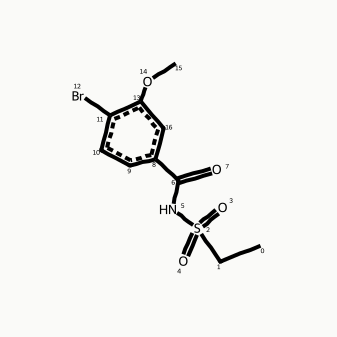 CCS(=O)(=O)NC(=O)c1ccc(Br)c(OC)c1